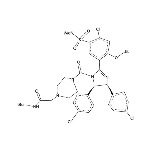 CCOc1cc(Cl)c(S(=O)(=O)NC)cc1C1=N[C@@H](c2ccc(Cl)cc2)[C@@H](c2ccc(Cl)cc2)N1C(=O)N1CCN(CC(=O)NC(C)(C)C)CC1